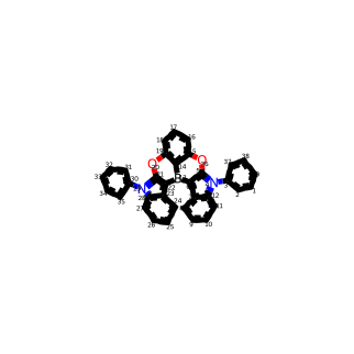 c1ccc(-n2c3c(c4ccccc42)B2c4c(cccc4Oc4c2c2ccccc2n4-c2ccccc2)O3)cc1